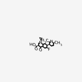 Cc1ccc(-c2cc3c(cc2F)c(=O)c(C(=O)O)cn3C2CC2)c(C)n1